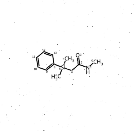 CNC(=O)C[Si](C)(C)c1ccccc1